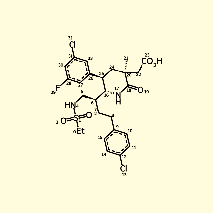 CCS(=O)(=O)NC[C@H](CCc1ccc(Cl)cc1)[C@H]1NC(=O)[C@](C)(CC(=O)O)C[C@@H]1c1cc(F)cc(Cl)c1